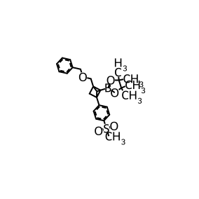 CC1(C)OB(C2C3(COCc4ccccc4)CC2(c2ccc(S(C)(=O)=O)cc2)C3)OC1(C)C